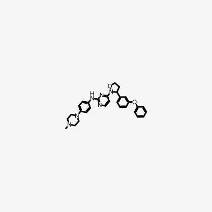 CN1CCN(c2ccc(Nc3nccc(N4OCCC4c4cccc(Oc5ccccc5)c4)n3)cc2)CC1